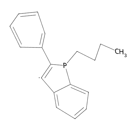 CCCCp1c(-c2ccccc2)[c]c2ccccc21